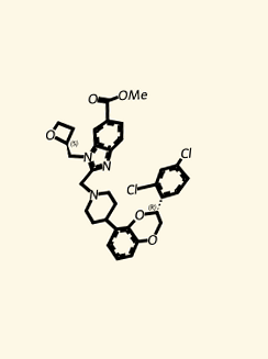 COC(=O)c1ccc2nc(CN3CCC(c4cccc5c4O[C@H](c4ccc(Cl)cc4Cl)CO5)CC3)n(C[C@@H]3CCO3)c2c1